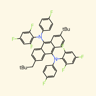 CC(C)(C)Cc1ccc2c(N(c3ccc(F)cc3)c3c(F)cc(F)cc3F)c3cc(C(C)(C)C)ccc3c(N(c3ccc(F)cc3)c3c(F)cc(F)cc3F)c2c1